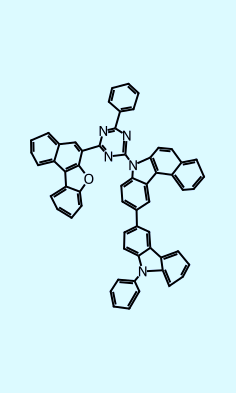 c1ccc(-c2nc(-c3cc4ccccc4c4c3oc3ccccc34)nc(-n3c4ccc(-c5ccc6c(c5)c5ccccc5n6-c5ccccc5)cc4c4c5ccccc5ccc43)n2)cc1